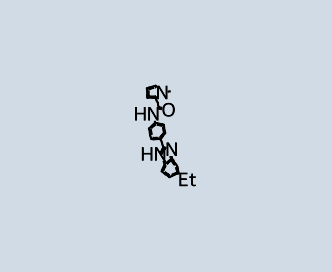 [CH2]Cc1ccc2[nH]c(-c3ccc(NC(=O)c4cccn4C)cc3)nc2c1